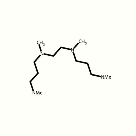 CNCCCN(C)CCN(C)CCCNC